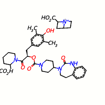 Cc1cc(C[C@@H](OC(=O)N2CCC(N3CCc4ccccc4NC3=O)CC2)C(=O)N2CCCCC2C(=O)O)cc(C)c1O.O=C(O)C1CC2CC[N+]21